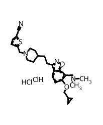 CN(C)Cc1c(OCC2CC2)ccc2c(CCC3CCN(Cc4ccc(C#N)s4)CC3)noc12.Cl.Cl